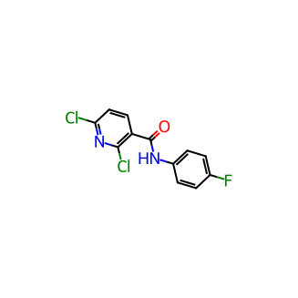 O=C(Nc1ccc(F)cc1)c1ccc(Cl)nc1Cl